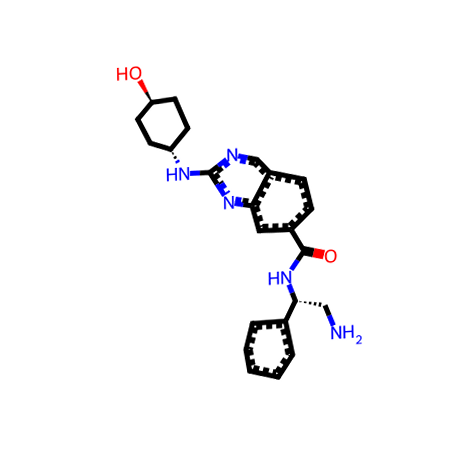 NC[C@@H](NC(=O)c1ccc2cnc(N[C@H]3CC[C@H](O)CC3)nc2c1)c1ccccc1